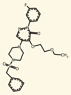 CCOCCOc1c(N2CCN(S(=O)(=O)Cc3ccccc3)CC2)cnn(-c2cccc(F)c2)c1=O